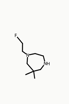 CC1(C)CNCCN(CCF)C1